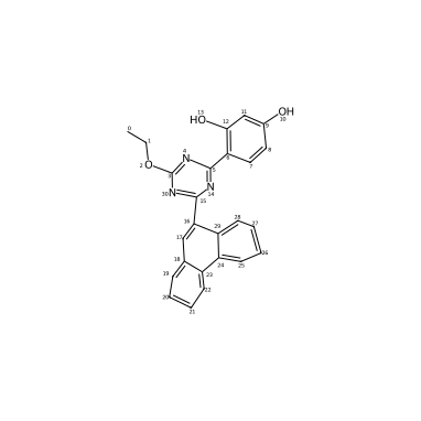 CCOc1nc(-c2ccc(O)cc2O)nc(-c2cc3ccccc3c3ccccc23)n1